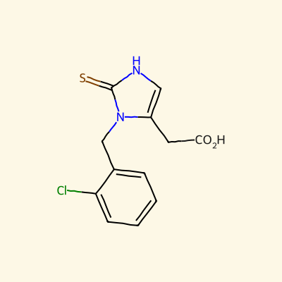 O=C(O)Cc1c[nH]c(=S)n1Cc1ccccc1Cl